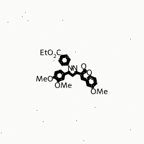 CCOC(=O)c1ccc(N2N=C(c3cc4cc(OC)ccc4oc3=O)CC2c2ccc(OC)c(OC)c2)cc1